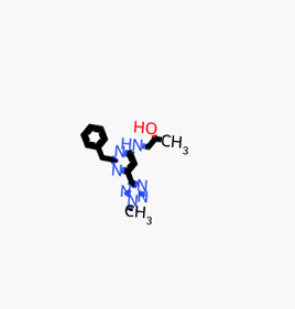 CC(O)CNc1cc(-c2nnn(C)n2)nc(Cc2ccccc2)n1